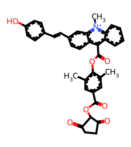 Cc1cc(C(=O)OC2C(=O)CCC2=O)cc(C)c1OC(=O)c1c2ccccc2[n+](C)c2cc(/C=C/c3ccc(O)cc3)ccc12